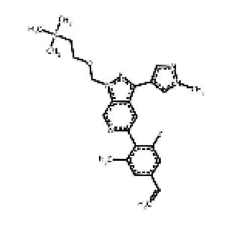 C=Cc1cc(C)c(-c2cc3c(-c4cnn(C)c4)nn(COCC[Si](C)(C)C)c3cn2)c(F)c1